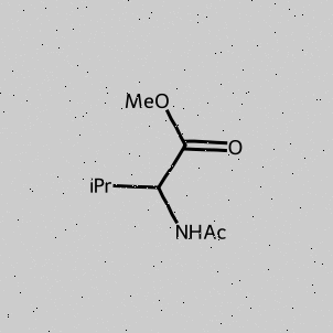 COC(=O)C(NC(C)=O)C(C)C